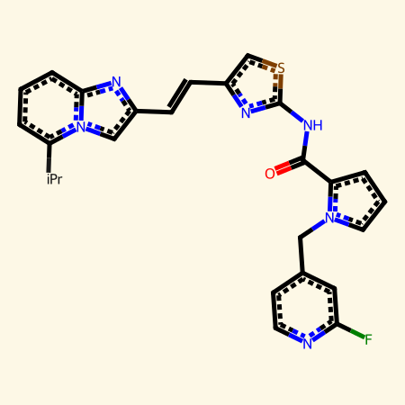 CC(C)c1cccc2nc(/C=C/c3csc(NC(=O)c4cccn4Cc4ccnc(F)c4)n3)cn12